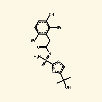 CC(C)c1ccc(C#N)c(C(C)C)c1CC(=O)N=S(N)(=O)c1nc(C(C)(C)O)cs1